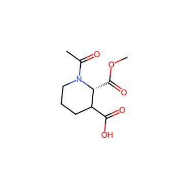 COC(=O)[C@@H]1C(C(=O)O)CCCN1C(C)=O